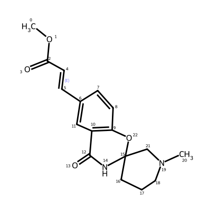 COC(=O)/C=C/c1ccc2c(c1)C(=O)NC1(CCCN(C)C1)O2